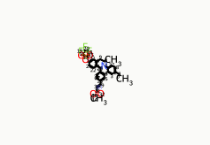 CCc1ccc(N2C(C)Cc3cc(OS(=O)(=O)C(F)(F)F)ccc3C2c2ccc(/C=C/C(=O)OC)cc2)cc1